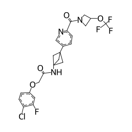 O=C(COc1ccc(Cl)c(F)c1)NC12CC(c3ccc(C(=O)N4CC(OC(F)(F)F)C4)nc3)(C1)C2